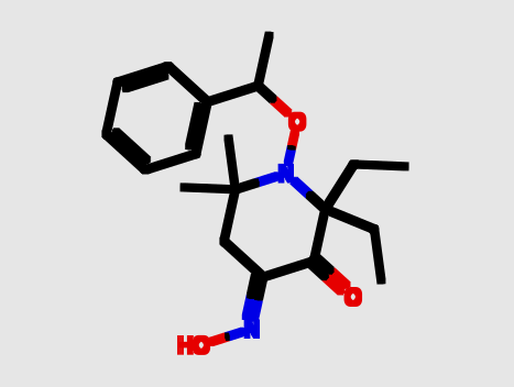 CCC1(CC)C(=O)C(=NO)CC(C)(C)N1OC(C)c1ccccc1